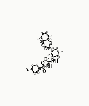 Cc1ccc(S(=O)(=O)NC(=O)Nc2cccc(C(=O)Oc3ccccc3Cl)c2)cc1